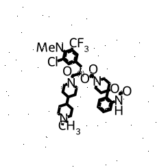 CNc1c(Cl)cc(C[C@@H](OC(=O)N2CCC3(CC2)OC(=O)Nc2ccccc23)C(=O)N2CCC(C3CCN(C)CC3)CC2)cc1C(F)(F)F